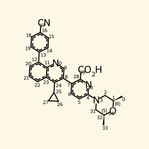 C[C@@H]1CN(c2ccc(-c3cnc4c(-c5ccc(C#N)cc5)cccc4c3C3CC3)c(C(=O)O)n2)C[C@H](C)O1